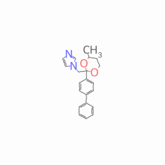 CC1CCOC(Cn2ccnc2)(c2ccc(-c3ccccc3)cc2)O1